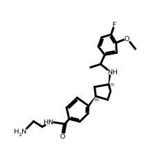 COc1cc(C(C)N[C@H]2CC[C@@H](c3ccc(C(=O)NCCN)cc3)C2)ccc1F